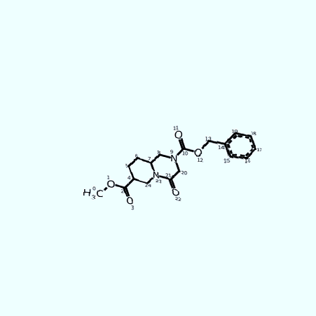 COC(=O)C1CCC2CN(C(=O)OCc3ccccc3)CC(=O)N2C1